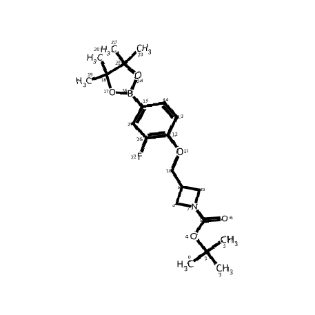 CC(C)(C)OC(=O)N1CC(COc2ccc(B3OC(C)(C)C(C)(C)O3)cc2F)C1